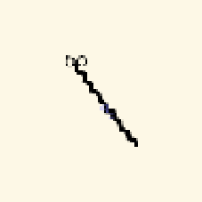 CCCCCC/C=C/C=C/CCCCCCCC(=O)OC